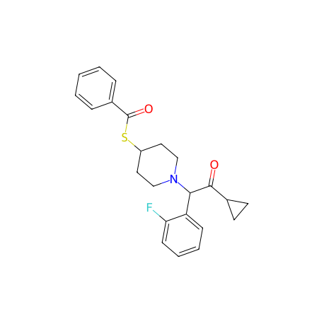 O=C(SC1CCN(C(C(=O)C2CC2)c2ccccc2F)CC1)c1ccccc1